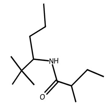 CCCC(NC(=O)C(C)CC)C(C)(C)C